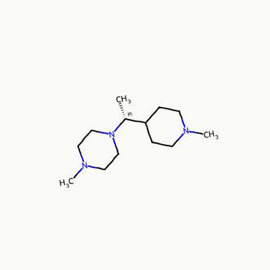 C[C@H](C1CCN(C)CC1)N1CCN(C)CC1